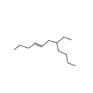 CCCC=CCC(CC)CCCC